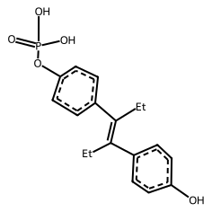 CC/C(=C(/CC)c1ccc(OP(=O)(O)O)cc1)c1ccc(O)cc1